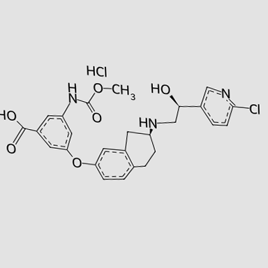 COC(=O)Nc1cc(Oc2ccc3c(c2)C[C@@H](NC[C@@H](O)c2ccc(Cl)nc2)CC3)cc(C(=O)O)c1.Cl